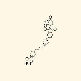 CC(C)(C)OC(=O)N1CCC(CCCCN2CCN(c3ccc4c(c3)C(=O)N(C3CCC(=O)NC3=O)C4=O)CC2)CC1